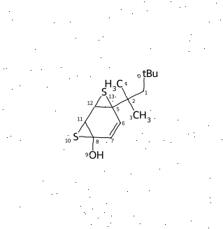 CC(C)(C)CC(C)(C)C12C=CC3(O)SC3C1S2